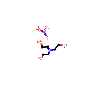 O=[N+]([O-])O.OCCN(CCO)CCO